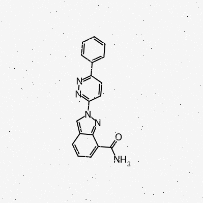 NC(=O)c1cccc2cn(-c3ccc(-c4ccccc4)nn3)nc12